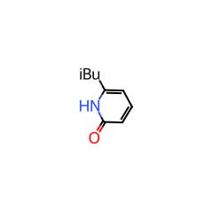 CCC(C)c1cccc(=O)[nH]1